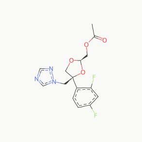 CC(=O)OC[C@@H]1OC[C@@](Cn2cncn2)(c2ccc(F)cc2F)O1